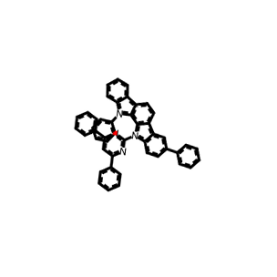 c1ccc(-c2ccc3c(c2)c2ccc4c5ccccc5n(-c5ccccc5)c4c2n3-c2nc(-c3ccccc3)cc(-c3ccccc3)n2)cc1